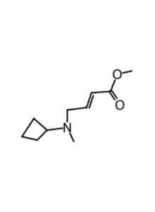 COC(=O)C=CCN(C)C1CCC1